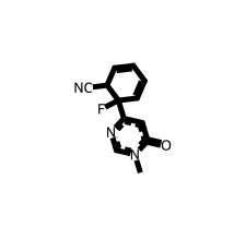 Cn1cnc(C2(F)C=CC=CC2C#N)cc1=O